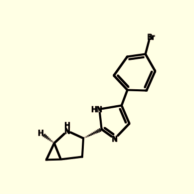 Brc1ccc(-c2cnc([C@@H]3CC4C[C@H]4N3)[nH]2)cc1